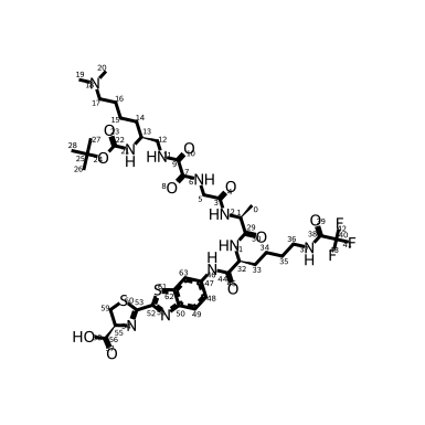 C[C@H](NC(=O)CNC(=O)C(=O)NC[C@H](CCCCN(C)C)NC(=O)OC(C)(C)C)C(=O)N[C@@H](CCCCNC(=O)C(F)(F)F)C(=O)Nc1ccc2nc(C3=N[C@@H](C(=O)O)CS3)sc2c1